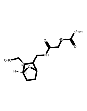 CCCCCC(=O)NCC(=O)NCC1C2CC[C@H](O2)[C@H]1CC=O